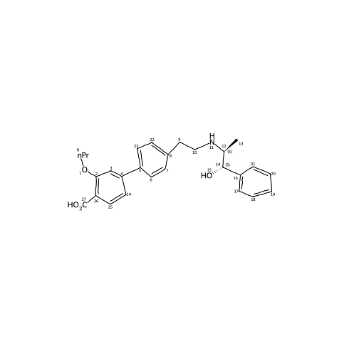 CCCOc1cc(-c2ccc(CCN[C@@H](C)[C@@H](O)c3ccccc3)cc2)ccc1C(=O)O